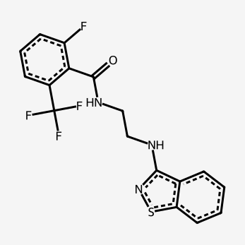 O=C(NCCNc1nsc2ccccc12)c1c(F)cccc1C(F)(F)F